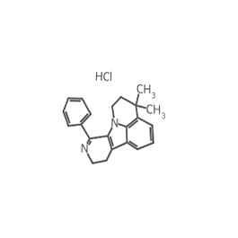 CC1(C)CCn2c3c(c4cccc1c42)CCN=C3c1ccccc1.Cl